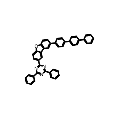 c1ccc(-c2ccc(-c3ccc(-c4ccc5oc6ccc(-c7nc(-c8ccccc8)nc(-c8ccccc8)n7)cc6c5c4)cc3)cc2)cc1